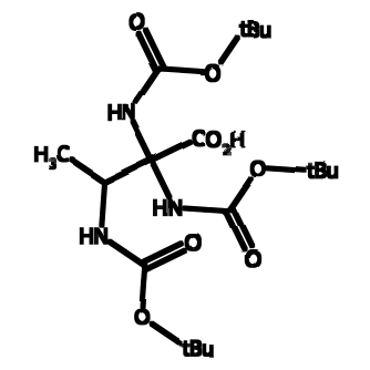 CC(NC(=O)OC(C)(C)C)C(NC(=O)OC(C)(C)C)(NC(=O)OC(C)(C)C)C(=O)O